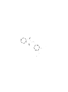 O=C1c2ccccc2C(=O)N1Cc1ccc(CBr)c(CBr)c1